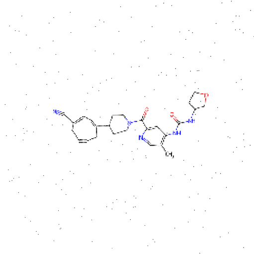 Cc1cnc(C(=O)N2CCC(/C3=C/C=C(/C#N)CC#CC3)CC2)cc1NC(=O)NC1CCOC1